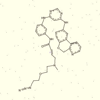 CN(C/C=C/C(=O)Nc1cccc(Nc2cc(Nc3ccc(OCc4ccccn4)c(CI)c3)ncn2)c1)CCOCCN=[N+]=[N-]